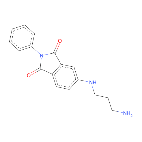 NCCCNc1ccc2c(c1)C(=O)N(c1ccccc1)C2=O